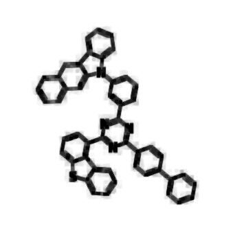 c1ccc(-c2ccc(-c3nc(-c4cccc(-n5c6ccccc6c6cc7ccccc7cc65)c4)nc(-c4cccc5sc6ccccc6c45)n3)cc2)cc1